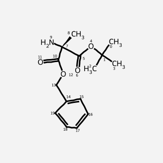 CC(C)(C)OC(=O)[C@@](C)(N)C(=O)OCc1ccccc1